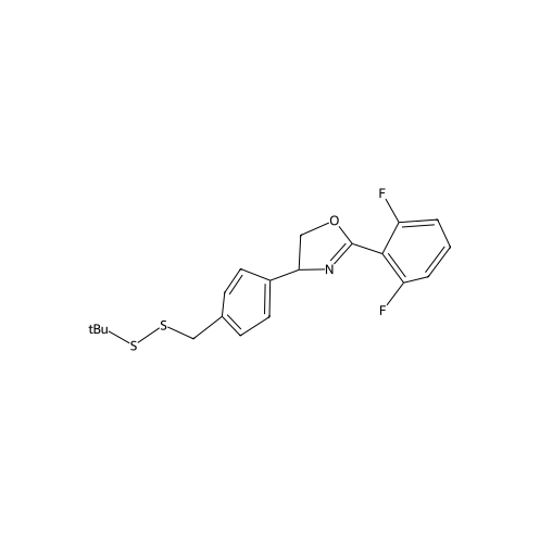 CC(C)(C)SSCc1ccc(C2COC(c3c(F)cccc3F)=N2)cc1